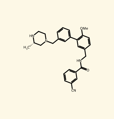 COc1ccc(CNC(=O)c2cccc(C#N)c2)cc1-c1cccc(CN2CCN[C@@H](C)C2)c1